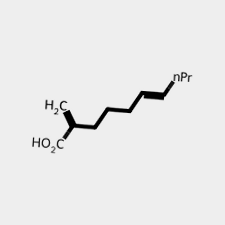 C=C(CCCC=CCCC)C(=O)O